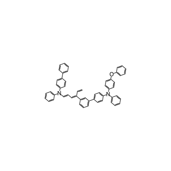 C=C/C(=C\C=C\N(c1ccccc1)c1ccc(-c2ccccc2)cc1)c1cccc(-c2ccc(N(c3ccccc3)c3ccc(Oc4ccccc4)cc3)cc2)c1